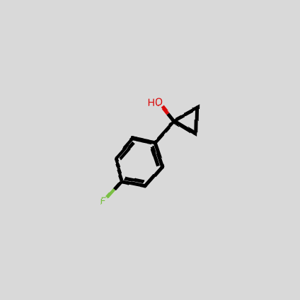 OC1(c2ccc(F)cc2)CC1